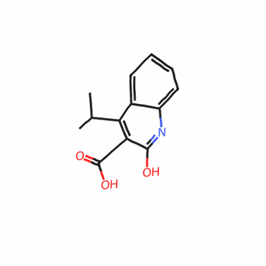 CC(C)c1c(C(=O)O)c(O)nc2ccccc12